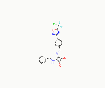 O=c1c(NCc2ccccc2)c(NCc2ccc(-c3noc(C(F)(F)Cl)n3)cc2)c1=O